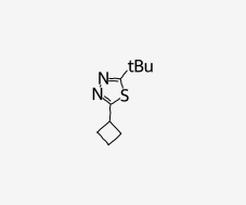 CC(C)(C)c1nnc(C2CCC2)s1